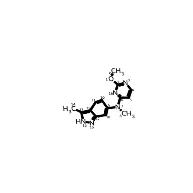 COc1nccc(N(C)c2ccc3c(C)[nH]nc3c2)n1